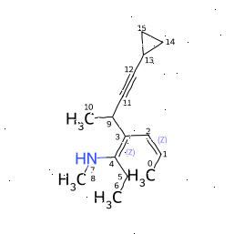 C/C=C\C(=C(/CC)NC)C(C)C#CC1CC1